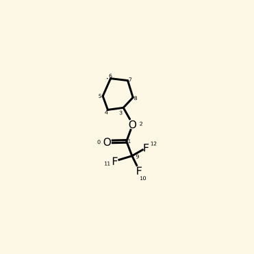 O=C(OC1CC[CH]CC1)C(F)(F)F